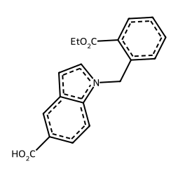 CCOC(=O)c1ccccc1Cn1ccc2cc(C(=O)O)ccc21